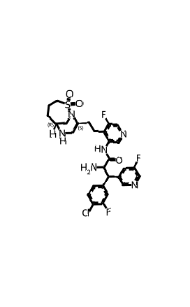 NC(C(=O)Nc1cncc(F)c1CC[C@H]1CN[C@@H]2CCCS(=O)(=O)N1C2)C(c1cncc(F)c1)c1ccc(Cl)c(F)c1